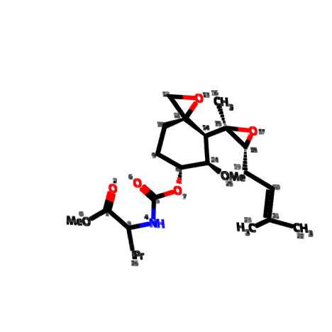 COC(=O)C(NC(=O)O[C@@H]1CC[C@]2(CO2)[C@@H]([C@@]2(C)O[C@@H]2CC=C(C)C)[C@H]1OC)C(C)C